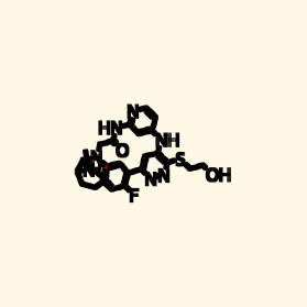 CN1CC2CCC1CN(CC(=O)Nc1cc(Nc3cc(-c4cc(Cl)ccc4F)nnc3SCCO)ccn1)C2